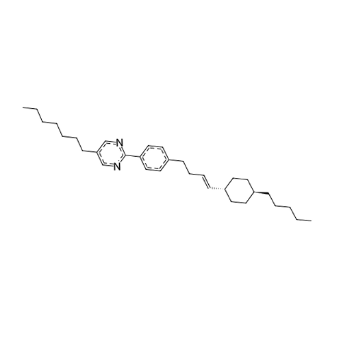 CCCCCCCc1cnc(-c2ccc(CCC=C[C@H]3CC[C@H](CCCCC)CC3)cc2)nc1